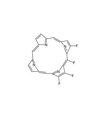 FC1=CC2=CC3=NC(=CC4=NC(=CC5=NC(=C(F)C1=N2)C(F)=C5F)C=C4)C=C3